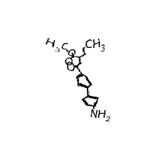 CCCC(CC(=O)c1ccc(-c2ccc(N)cc2)cc1)C(=O)OCC